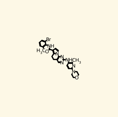 Cc1cccc(Br)c1NC(=O)c1ccn2c1CCc1cnc(Nc3ccc(N4CCOCC4)nc3C)nc1-2